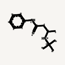 CC(CC(=O)Nc1ccccc1)NC(C)(C)C